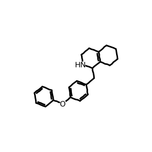 c1ccc(Oc2ccc(CC3NCCC4=C3CCCC4)cc2)cc1